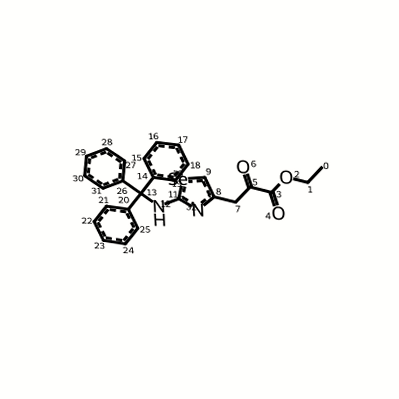 CCOC(=O)C(=O)Cc1c[se]c(NC(c2ccccc2)(c2ccccc2)c2ccccc2)n1